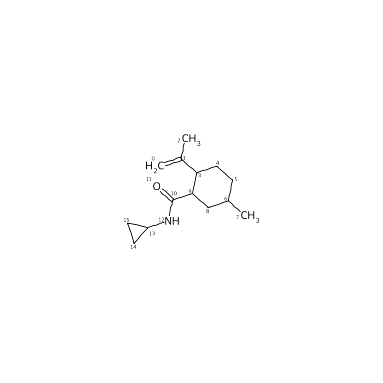 C=C(C)C1CCC(C)CC1C(=O)NC1CC1